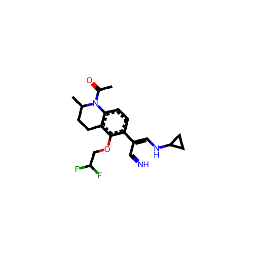 CC(=O)N1c2ccc(/C(C=N)=C/NC3CC3)c(OCC(F)F)c2CCC1C